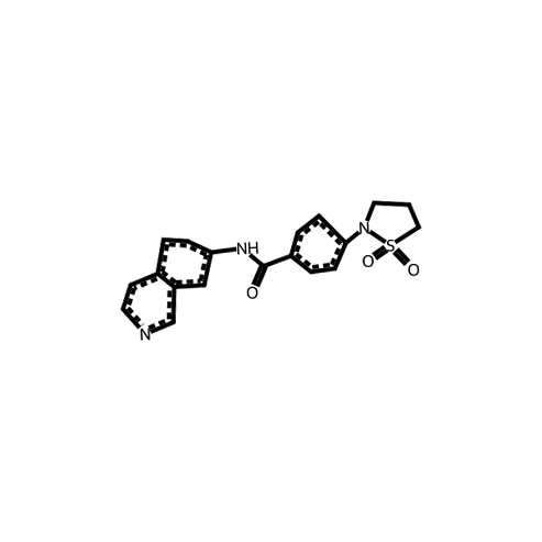 O=C(Nc1ccc2ccncc2c1)c1ccc(N2CCCS2(=O)=O)cc1